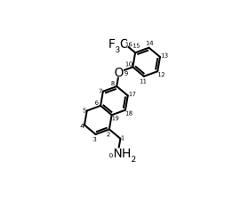 NCC1=CCCc2cc(Oc3ccccc3C(F)(F)F)ccc21